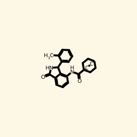 Cc1ccccc1C1NC(=O)c2cccc(NC(=O)C34CCC(CC3)CC4)c21